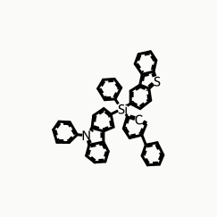 c1ccc(-c2ccc([Si](c3ccccc3)(c3ccc4sc5ccccc5c4c3)c3ccc4c(c3)c3ccccc3n4-c3ccccc3)cc2)cc1